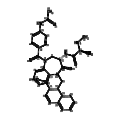 CN[C@@H](C)C(=O)N[C@H]1CN(C(=O)c2ccc(NC(C)=O)cc2)c2ccccc2N(Cc2c(OC)ccc3ccccc23)C1=O